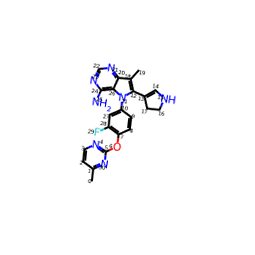 Cc1ccnc(Oc2ccc(-n3c(C4=CNCC4)c(C)c4ncnc(N)c43)cc2F)n1